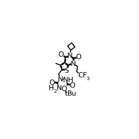 Cc1c(CN(NC(=O)OC(C)(C)C)C(N)=O)sc2c1c(=O)n(C1CCC1)c(=O)n2CCC(F)(F)F